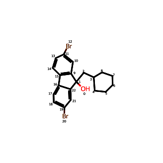 OC1(CC2CCCCC2)c2cc(Br)ccc2-c2ccc(Br)cc21